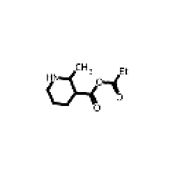 CCC(=O)OC(=O)C1CCCNC1C